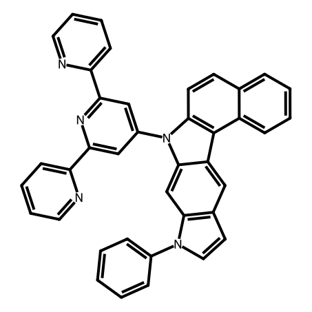 c1ccc(-n2ccc3cc4c5c6ccccc6ccc5n(-c5cc(-c6ccccn6)nc(-c6ccccn6)c5)c4cc32)cc1